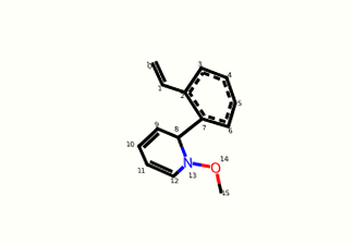 [CH]=Cc1ccccc1C1C=CC=CN1OC